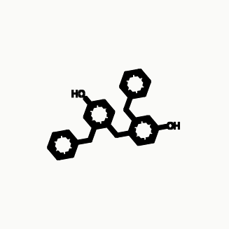 Oc1ccc(Cc2ccc(O)cc2Cc2ccccc2)c(Cc2ccccc2)c1